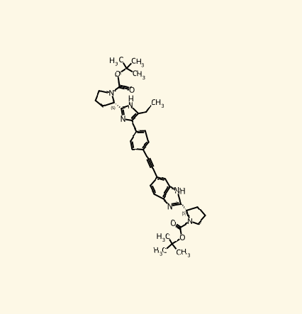 CCc1[nH]c([C@@H]2CCCN2C(=O)OC(C)(C)C)nc1-c1ccc(C#Cc2ccc3nc([C@@H]4CCCN4C(=O)OC(C)(C)C)[nH]c3c2)cc1